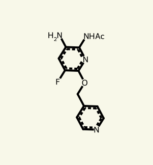 CC(=O)Nc1nc(OCc2ccncc2)c(F)cc1N